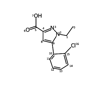 CCn1nc(C(=O)O)cc1-c1ccccc1Cl